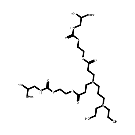 CCCCCCC(CCCC)CNC(=O)SCCOC(=O)CCN(CCCN(CCO)CCO)CCC(=O)OCCSC(=O)NCC(CCCC)CCCCCC